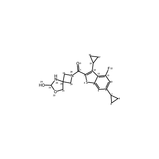 O=C(c1sc2cc(C3CC3)cc(F)c2c1C1CC1)N1CC2(COC(O)N2)C1